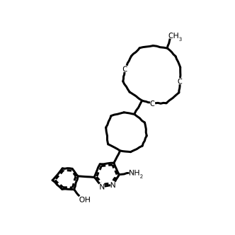 CC1CCCCCCC(C2CCCCC(c3cc(-c4ccccc4O)nnc3N)CCCC2)CCCCCC1